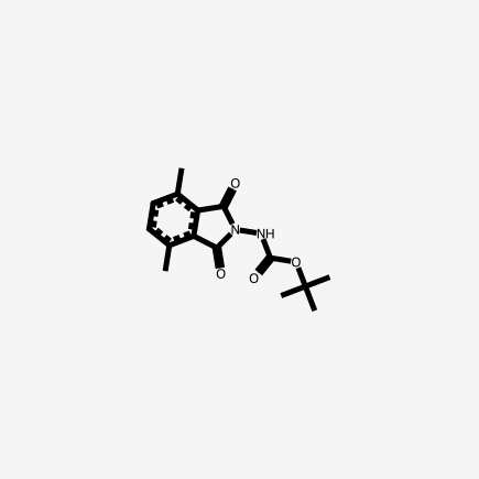 Cc1ccc(C)c2c1C(=O)N(NC(=O)OC(C)(C)C)C2=O